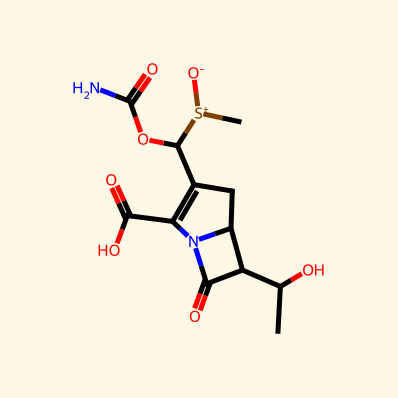 CC(O)C1C(=O)N2C(C(=O)O)=C(C(OC(N)=O)[S+](C)[O-])CC12